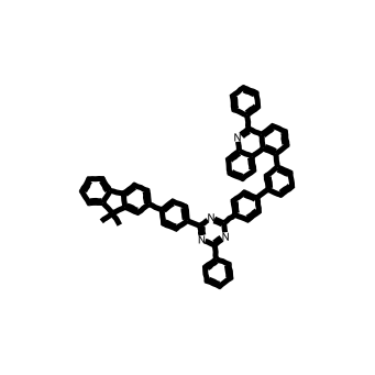 CC1(C)c2ccccc2-c2ccc(-c3ccc(-c4nc(-c5ccccc5)nc(-c5ccc(-c6cccc(-c7cccc8c(-c9ccccc9)nc9ccccc9c78)c6)cc5)n4)cc3)cc21